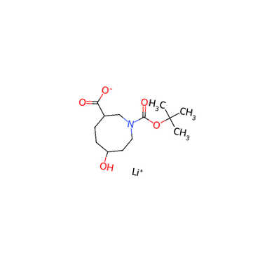 CC(C)(C)OC(=O)N1CCC(O)CCC(C(=O)[O-])C1.[Li+]